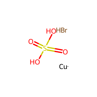 Br.O=S(=O)(O)O.[Cu]